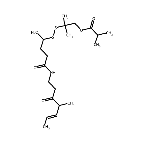 CC=CC(C)C(=O)CCNC(=O)CCC(C)SSC(C)(C)COC(=O)C(C)C